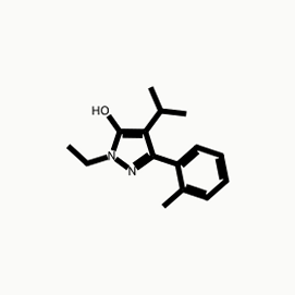 CCn1nc(-c2ccccc2C)c(C(C)C)c1O